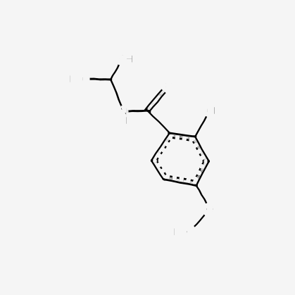 COc1ccc(C(=O)NC(C)C)c(C)c1